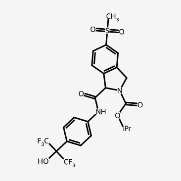 CC(C)OC(=O)N1Cc2cc(S(C)(=O)=O)ccc2C1C(=O)Nc1ccc(C(O)(C(F)(F)F)C(F)(F)F)cc1